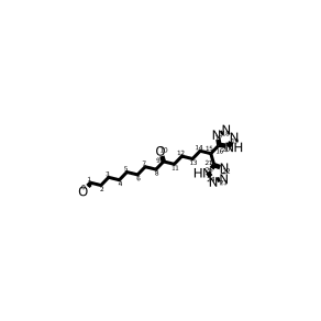 O=CCCCCCCCC(=O)CCCCC(c1nnn[nH]1)c1nnn[nH]1